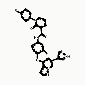 O=C(Nc1ccc(Oc2cc(-c3cn[nH]c3)cn3nccc23)c(F)c1)c1cccn(-c2ccc(F)cc2)c1=O